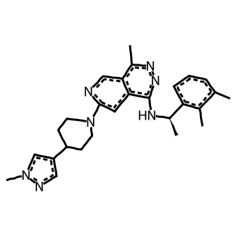 Cc1cccc([C@@H](C)Nc2nnc(C)c3cnc(N4CCC(c5cnn(C)c5)CC4)cc23)c1C